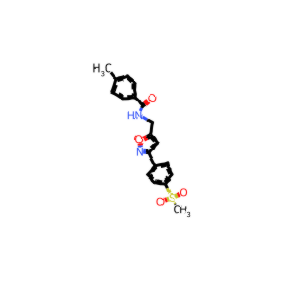 Cc1ccc(C(=O)NCc2cc(-c3ccc(S(C)(=O)=O)cc3)no2)cc1